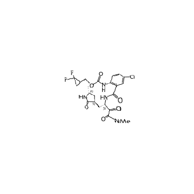 CNC(=O)C(=O)[C@H](C[C@@H]1C[C@@H](C)NC1=O)NC(=O)c1cc(Cl)ccc1NC(=O)OCC1CC1(F)F